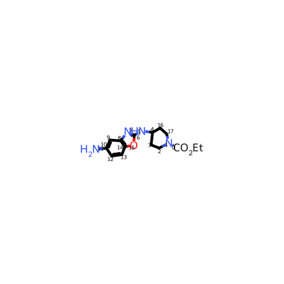 CCOC(=O)N1CCC(Nc2nc3cc(N)ccc3o2)CC1